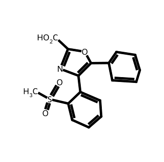 CS(=O)(=O)c1ccccc1-c1nc(C(=O)O)oc1-c1ccccc1